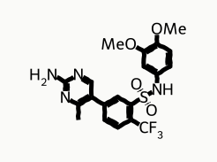 COc1ccc(NS(=O)(=O)c2cc(-c3cnc(N)nc3C)ccc2C(F)(F)F)cc1OC